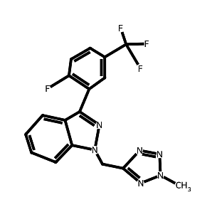 Cn1nnc(Cn2nc(-c3cc(C(F)(F)F)ccc3F)c3ccccc32)n1